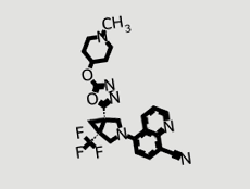 CN1CCC(Oc2nnc([C@]34CN(c5ccc(C#N)c6ncccc56)C[C@@]3(C(F)(F)F)C4)o2)CC1